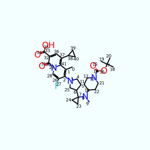 Cc1c(N2CCC(C3(N(C)C4CCN(C(=O)OC(C)(C)C)CC4)CC3)C2)c(F)cn2c(=O)c(C(=O)O)cc(C3CC3)c12